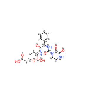 O=C(O)C[C@@H]1CC[C@H](NC(=O)[C@H](NC(=O)N2CCNC(=O)C2=O)c2ccccc2)B(O)O1